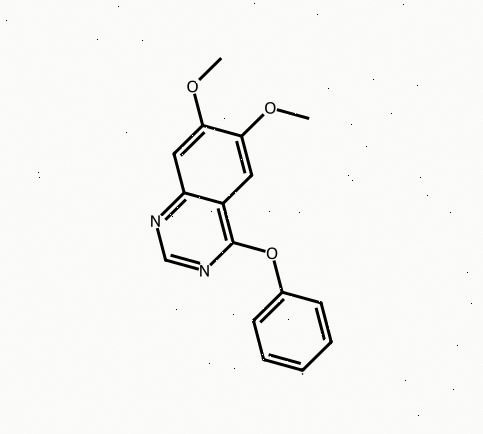 COc1cc2ncnc(Oc3cc[c]cc3)c2cc1OC